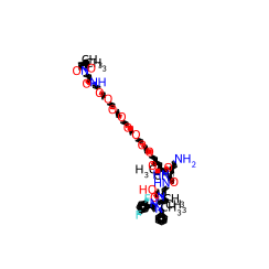 CC(C)C(CC(=O)CCOCCOCCOCCOCCOCCOCCOCCOCCNC(=O)CCN1C(=O)CC(C)(C)C1=O)C(=O)N[C@@H](CCCCN)C(=O)NCCCN(C(=O)CO)[C@@H](c1nc(-c2cc(F)ccc2F)cn1Cc1ccccc1)C(C)(C)C